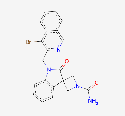 NC(=O)N1CC2(C1)C(=O)N(Cc1ncc3ccccc3c1Br)c1ccccc12